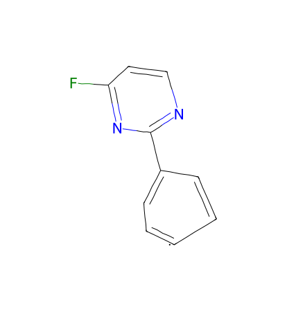 Fc1ccnc(-c2cc[c]cc2)n1